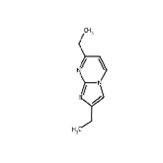 CCc1ccn2cc(CC)nc2n1